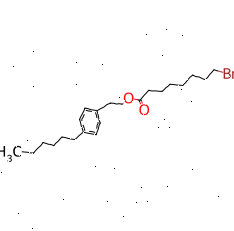 CCCCCCc1ccc(CCOC(=O)CCCCCCCBr)cc1